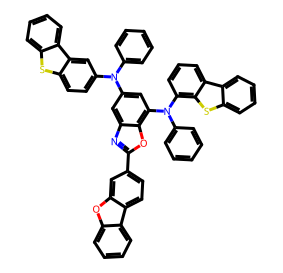 c1ccc(N(c2cc(N(c3ccccc3)c3cccc4c3sc3ccccc34)c3oc(-c4ccc5c(c4)oc4ccccc45)nc3c2)c2ccc3sc4ccccc4c3c2)cc1